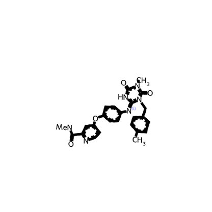 CNC(=O)c1cc(Oc2ccc(/N=c3\[nH]c(=O)n(C)c(=O)n3Cc3ccc(C)cc3)cc2)ccn1